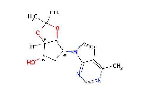 Cc1ncnc2c1ccn2[C@@H]1C[C@H](O)[C@H]2OC(C)(C)OC12